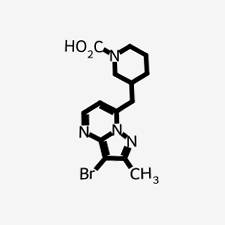 Cc1nn2c(CC3CCCN(C(=O)O)C3)ccnc2c1Br